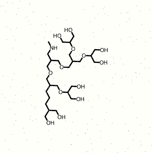 CNCC(COCC(CCCC(CO)CO)COC(CO)CO)COCC(COC(CO)CO)COC(CO)CO